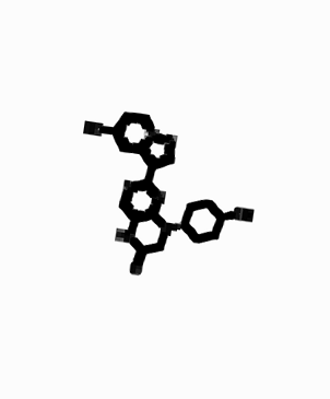 N#Cc1ccn2ncc(-c3ncc4c(n3)N([C@H]3CC[C@H](O)CC3)CC(=O)N4)c2c1